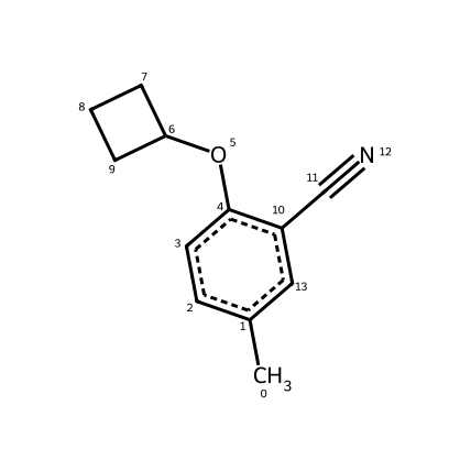 Cc1ccc(OC2CCC2)c(C#N)c1